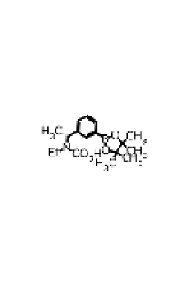 CCN(C(=O)O)[C@H](C)c1cccc(B2OC(C)(C)C(C)(C)O2)c1